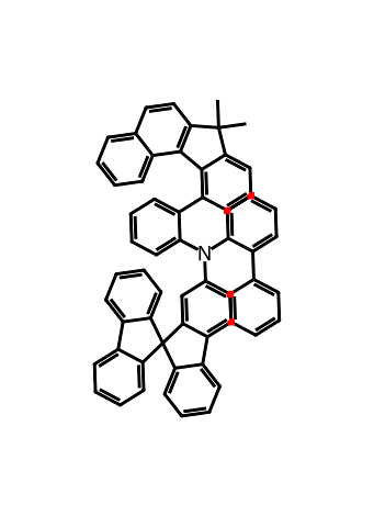 CC1(C)c2cccc(-c3ccccc3N(c3ccc4c(c3)C3(c5ccccc5-c5ccccc53)c3ccccc3-4)c3ccccc3-c3ccccc3)c2-c2c1ccc1ccccc21